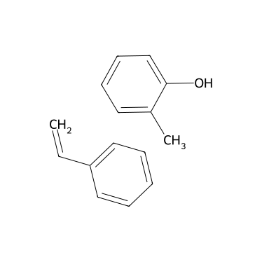 C=Cc1ccccc1.Cc1ccccc1O